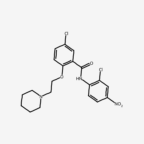 O=C(Nc1ccc([N+](=O)[O-])cc1Cl)c1cc(Cl)ccc1OCCN1CCCCC1